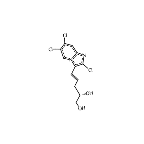 OC[C@@H](O)C/C=C/c1c(Cl)nc2cc(Cl)c(Cl)cn12